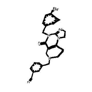 N#Cc1cccc(CN2CCC3=C(C2)C(=O)N(Cc2ccc(Br)cc2)C2=NCCN23)c1